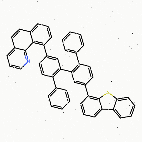 c1ccc(-c2ccc(-c3cccc4c3sc3ccccc34)cc2-c2cc(-c3cccc4ccc5cccnc5c34)ccc2-c2ccccc2)cc1